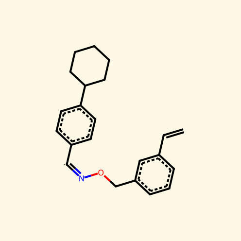 C=Cc1cccc(CO/N=[C]\c2ccc(C3CCCCC3)cc2)c1